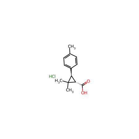 Cc1ccc([C@H]2[C@H](C(=O)O)C2(C)C)cc1.Cl